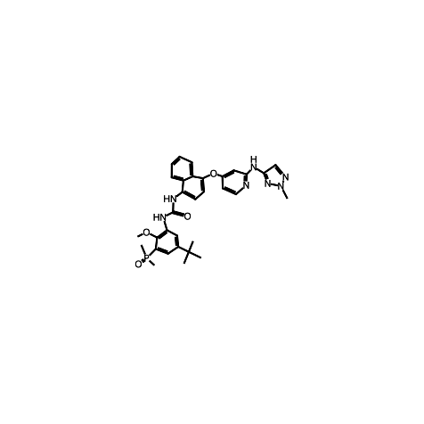 COc1c(NC(=O)Nc2ccc(Oc3ccnc(Nc4cnn(C)n4)c3)c3ccccc23)cc(C(C)(C)C)cc1P(C)(C)=O